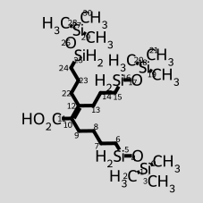 C[Si](C)(C)O[SiH2]CCCCC(C(=O)O)=C(CCC[SiH2]O[Si](C)(C)C)CCC[SiH2]O[Si](C)(C)C